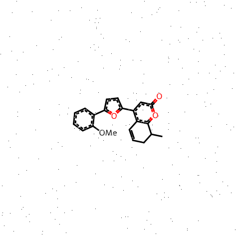 COc1ccccc1-c1ccc(-c2cc(=O)oc3c2C=CCC3C)o1